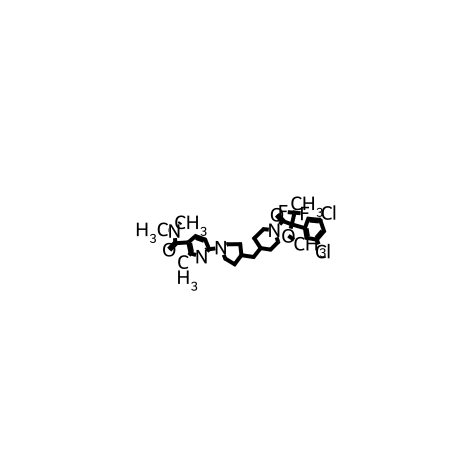 COC(C(=O)N1CCC(CC2CCN(c3ccc(C(=O)N(C)C)c(C)n3)CC2)CC1)(c1cc(Cl)cc(Cl)c1)C(C)(F)F